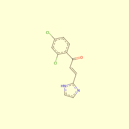 O=C(C=Cc1ncc[nH]1)c1ccc(Cl)cc1Cl